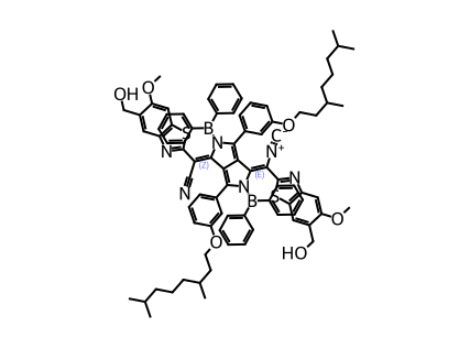 [C-]#[N+]/C(c1nc2cc(OC)c(CO)cc2s1)=c1\c2c(-c3cccc(OCCC(C)CCCC(C)C)c3)n(B(c3ccccc3)c3ccccc3)/c(=C(/C#N)c3nc4cc(CO)c(OC)cc4s3)c2c(-c2cccc(OCCC(C)CCCC(C)C)c2)n1B(c1ccccc1)c1ccccc1